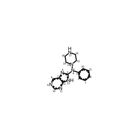 c1ccc(N(c2nc3cncnc3[nH]2)N2CCNCC2)cc1